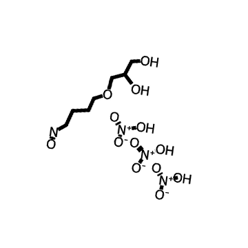 O=NCCCCOCC(O)CO.O=[N+]([O-])O.O=[N+]([O-])O.O=[N+]([O-])O